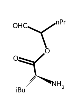 CCCC(C=O)OC(=O)[C@@H](N)[C@@H](C)CC